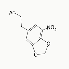 CC(=O)CCc1cc2c(c([N+](=O)[O-])c1)OCO2